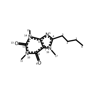 CCCCc1nc2c(c(=O)n(C)c(=O)n2C)n1C